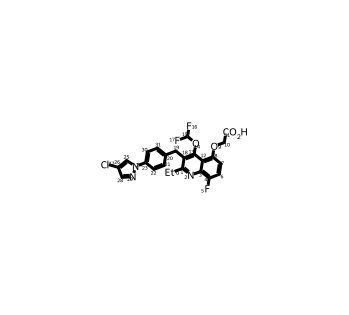 CCc1nc2c(F)ccc(OCC(=O)O)c2c(OC(F)F)c1Cc1ccc(-n2cc(Cl)cn2)cc1